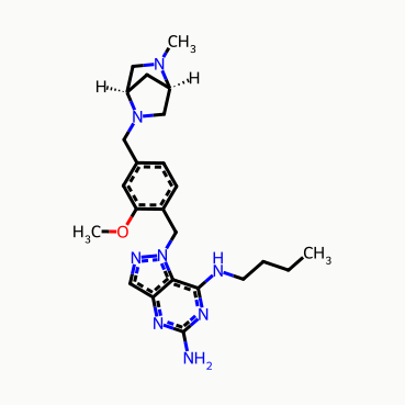 CCCCNc1nc(N)nc2cnn(Cc3ccc(CN4C[C@H]5C[C@@H]4CN5C)cc3OC)c12